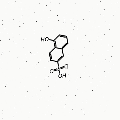 O=S(=O)(O)c1ccc2c(O)cccc2c1